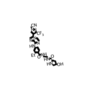 CCc1cc(Nc2nccn3c(-c4cn(CC#N)nc4C(F)(F)F)cnc23)ccc1C(=O)NCCNC(=O)[C@@H]1C[C@@H](O)CN1